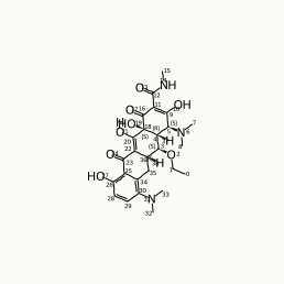 CCO[C@@H]1[C@H]2[C@H](N(C)C)C(O)=C(C(=O)NC)C(=O)[C@@]2(O)C(O)=C2C(=O)c3c(O)ccc(N(C)C)c3C[C@H]21